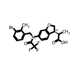 Cc1c(Br)cccc1CN(C(=O)C(F)(F)F)c1ccc2c(c1)OC[C@H]2C(C)C(=O)O